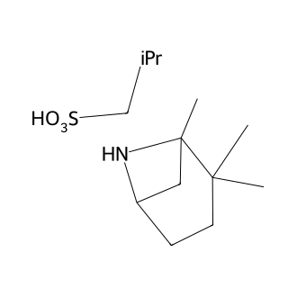 CC(C)CS(=O)(=O)O.CC1(C)CCC2CC1(C)N2